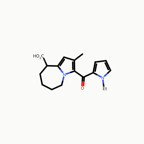 CCn1cccc1C(=O)c1c(C)cc2n1CCCCC2C(=O)O